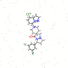 O=C1N2[C@H](c3cc(F)cc(F)c3)CCN2CC12CCN(c1ccc(Cl)c3ccnn13)CC2